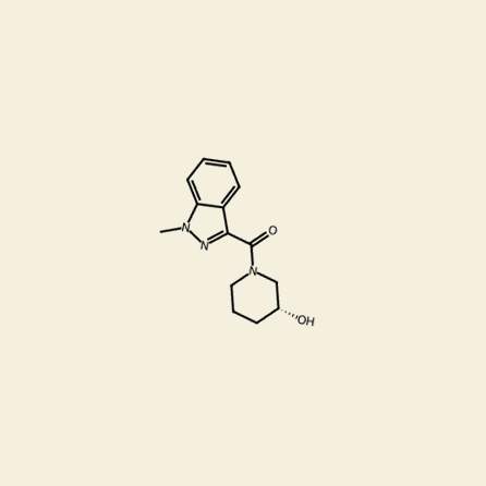 Cn1nc(C(=O)N2CCC[C@@H](O)C2)c2ccccc21